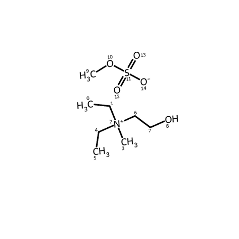 CC[N+](C)(CC)CCO.COS(=O)(=O)[O-]